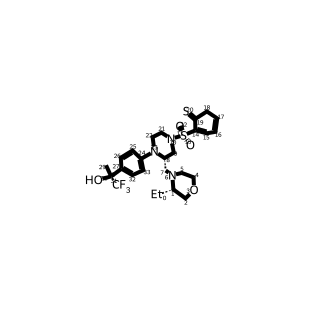 CC[C@H]1COCCN1C[C@H]1CN(S(=O)(=O)C2=CC=CCC2=S)CCN1c1ccc([C@](C)(O)C(F)(F)F)cc1